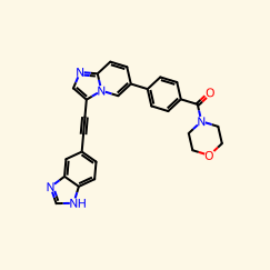 O=C(c1ccc(-c2ccc3ncc(C#Cc4ccc5[nH]cnc5c4)n3c2)cc1)N1CCOCC1